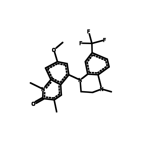 COc1cc(N2CCN(C)c3ccc(C(F)(F)F)cc32)c2cc(C)c(=O)n(C)c2c1